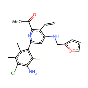 C=Cc1c(NCc2ccco2)cc(-c2c(C)c(C)c(Cl)c(N)c2F)nc1C(=O)OC